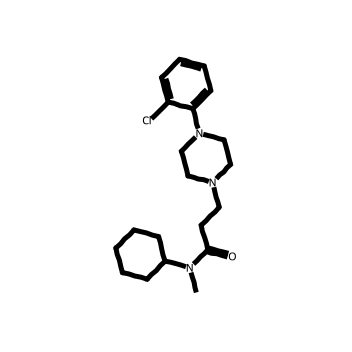 CN(C(=O)CCN1CCN(c2ccccc2Cl)CC1)C1CCCCC1